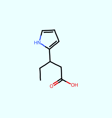 CCC(CC(=O)O)c1ccc[nH]1